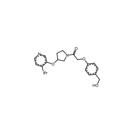 CC(C)c1ccncc1OC1CCN(C(=O)COc2ccc(CO)cc2)C1